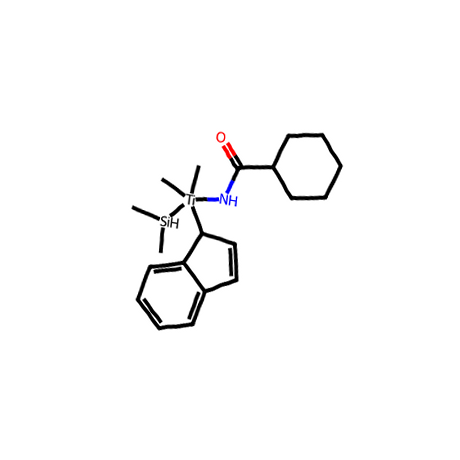 C[SiH](C)[Ti]([CH3])([CH3])([NH]C(=O)C1CCCCC1)[CH]1C=Cc2ccccc21